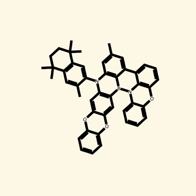 Cc1cc2c3c(c1)N(c1cc4c(cc1C)C(C)(C)CCC4(C)C)c1cc4c(cc1B3N1c3ccccc3Oc3cccc-2c31)Oc1ccccc1O4